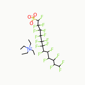 CC[N+](CC)(CC)CC.O=S(=O)([O-])C(F)C(F)(F)C(F)(F)C(F)(F)C(F)(F)C(F)(F)C(F)C(F)C(F)C(F)C(F)C(F)F